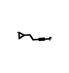 FC#CCCC1[CH]C1